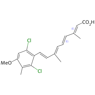 COc1cc(Cl)c(C=CC(C)=C/C=C/C(C)=C/C(=O)O)c(Cl)c1C